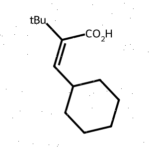 CC(C)(C)C(=CC1CCCCC1)C(=O)O